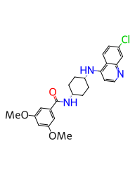 COc1cc(OC)cc(C(=O)N[C@H]2CC[C@@H](Nc3ccnc4cc(Cl)ccc34)CC2)c1